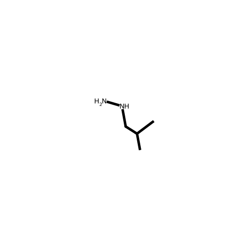 C[C](C)CNN